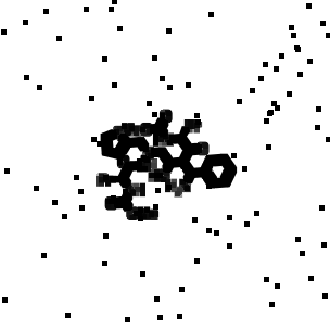 COC(=O)N[C@H](C(=O)NN(Cc1cccs1)CC(O)C(C(=O)[C@@H](NC(=O)OC)C(C)C)C(N)c1ccccc1)C(C)C